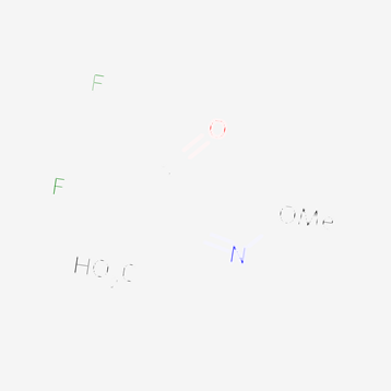 CON=C(C(=O)O)C(=O)C(F)F